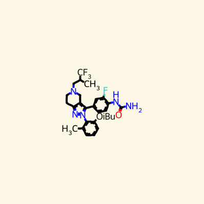 Cc1cccc(OCC(C)C)c1-n1nc2c(c1-c1ccc(NC(N)=O)c(F)c1)CN(CC(C)C(F)(F)F)CC2